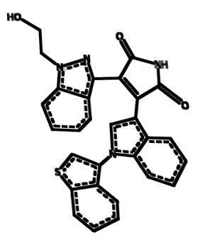 O=C1NC(=O)C(c2nn(CCO)c3ccccc23)=C1c1cn(-c2csc3ccccc23)c2ccccc12